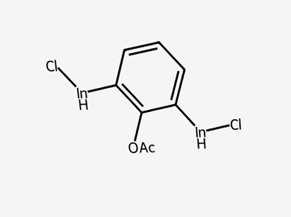 CC(=O)Oc1[c]([InH][Cl])ccc[c]1[InH][Cl]